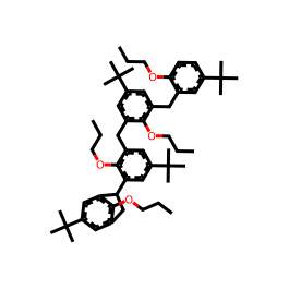 CCCOc1ccc(C(C)(C)C)cc1Cc1cc(C(C)(C)C)cc(Cc2cc(C(C)(C)C)cc(C3Cc4cc(C(C)(C)C)cc3c4OCCC)c2OCCC)c1OCCC